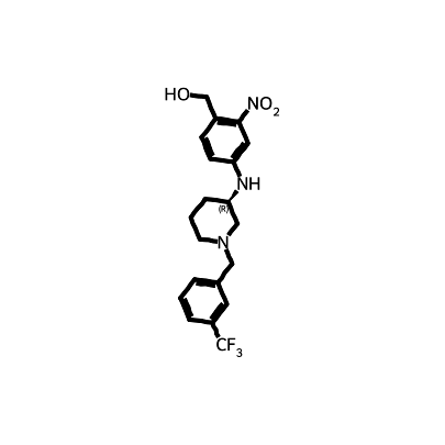 O=[N+]([O-])c1cc(N[C@@H]2CCCN(Cc3cccc(C(F)(F)F)c3)C2)ccc1CO